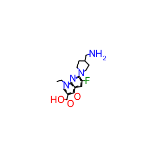 CCn1cc(C(=O)O)c(=O)c2cc(F)c(N3CCC(CN)CC3)nc21